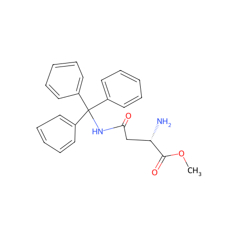 COC(=O)[C@@H](N)CC(=O)NC(c1ccccc1)(c1ccccc1)c1ccccc1